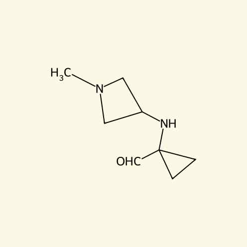 CN1CC(NC2(C=O)CC2)C1